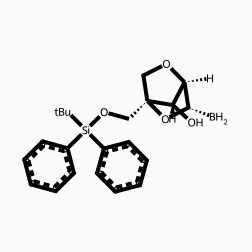 B[C@@H]1O[C@@]2(CO[Si](c3ccccc3)(c3ccccc3)C(C)(C)C)CO[C@@H]1[C@@H]2O